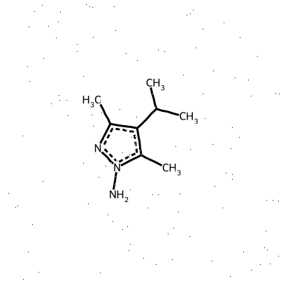 Cc1nn(N)c(C)c1C(C)C